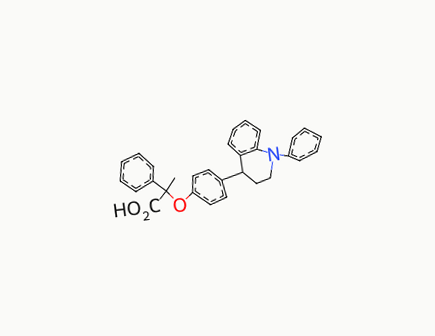 CC(Oc1ccc(C2CCN(c3ccccc3)c3ccccc32)cc1)(C(=O)O)c1ccccc1